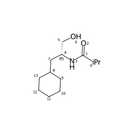 CC(C)C(=O)N[C@@H](CO)CC1CCCCC1